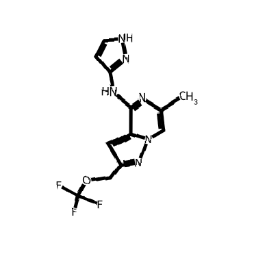 Cc1cn2nc(COC(F)(F)F)cc2c(Nc2cc[nH]n2)n1